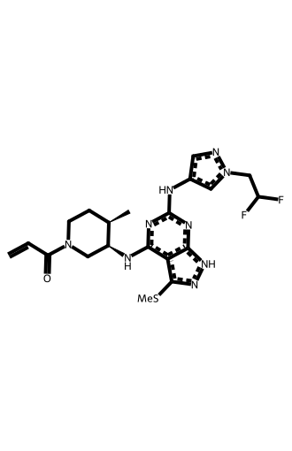 C=CC(=O)N1CC[C@@H](C)[C@@H](Nc2nc(Nc3cnn(CC(F)F)c3)nc3[nH]nc(SC)c23)C1